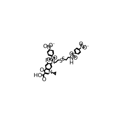 O=C(O)c1cn(C2CC2)c2cc(N(CCSSCCNS(=O)(=O)c3ccc([N+](=O)[O-])cc3)S(=O)(=O)c3ccc([N+](=O)[O-])cc3)c(F)cc2c1=O